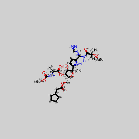 CCCCOC(C)(C)C(=O)N/C(=N/C=N)c1ccc([C@]2(C#N)O[C@H](COC(=O)CC3CCCC3)[C@@H](OC(=O)[C@@H](NC(=O)OC(C)(C)C)C(C)C)[C@H]2O)[nH]1